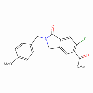 CNC(=O)c1cc2c(cc1F)C(=O)N(Cc1ccc(OC)cc1)C2